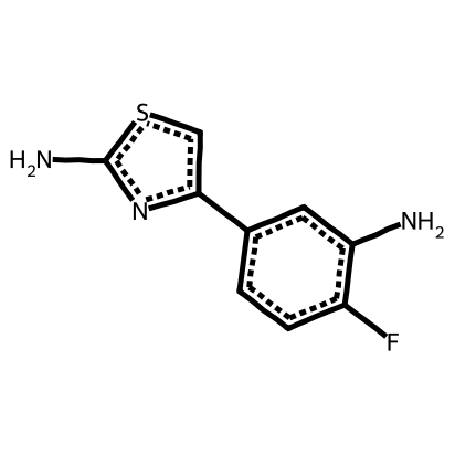 Nc1nc(-c2ccc(F)c(N)c2)cs1